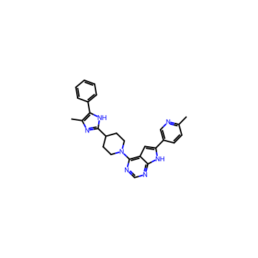 Cc1ccc(-c2cc3c(N4CCC(c5nc(C)c(-c6ccccc6)[nH]5)CC4)ncnc3[nH]2)cn1